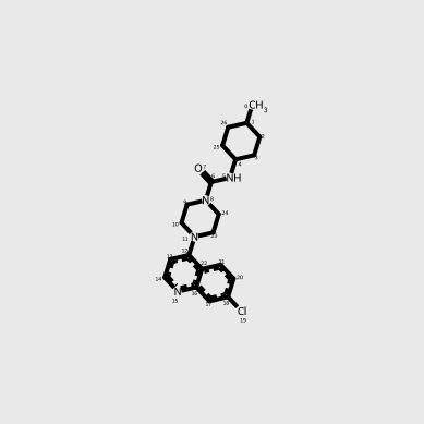 CC1CCC(NC(=O)N2CCN(c3ccnc4cc(Cl)ccc34)CC2)CC1